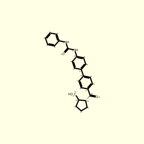 O=C(Nc1ccccc1)Nc1ccc(-c2ccc(C(=O)[C@@H]3CCCC3C(=O)O)cc2)cc1